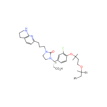 CCC(C)(CC(C)C)OCCC(C)(C)Oc1ccc([C@H](CC(=O)O)N2CCN(CCCc3ccc4c(n3)NCCC4)C2=O)cc1F